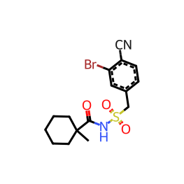 CC1(C(=O)NS(=O)(=O)Cc2ccc(C#N)c(Br)c2)CCCCC1